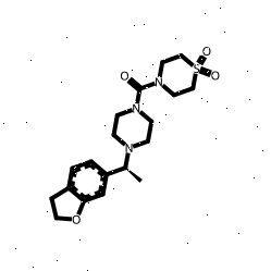 C[C@@H](c1ccc2c(c1)OCC2)N1CCN(C(=O)N2CCS(=O)(=O)CC2)CC1